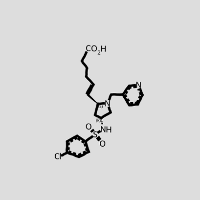 O=C(O)CCCC=C[C@@H]1C[C@@H](NS(=O)(=O)c2ccc(Cl)cc2)CN1Cc1cccnc1